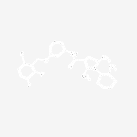 Cc1cc(C(=O)Nc2cccc(OCc3c(F)ccc(F)c3F)c2)c(C)n1-c1ccccc1C(F)(F)F